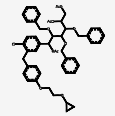 CC(=O)OCC(OC(C)=O)C(OCc1ccccc1)C(OCc1ccccc1)C(OCc1ccccc1)C(OC(C)=O)c1ccc(Cl)c(Cc2ccc(OCCOC3CC3)cc2)c1